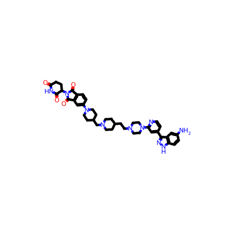 Nc1ccc2[nH]nc(-c3ccnc(N4CCN(CCC5CCN(CC6CCN(c7ccc8c(c7)C(=O)N(C7CCC(=O)NC7=O)C8=O)CC6)CC5)CC4)c3)c2c1